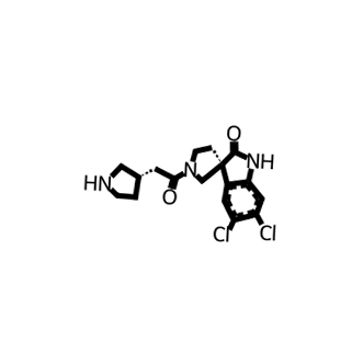 O=C(C[C@@H]1CCNC1)N1CC[C@]2(C1)C(=O)Nc1cc(Cl)c(Cl)cc12